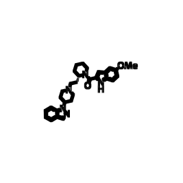 COc1ccc2[nH]c(C(=O)N3CCCC[C@H]3CCN3CCC(n4ncc5ccccc54)CC3)cc2c1